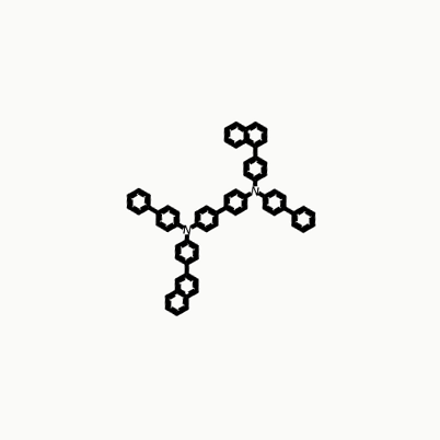 c1ccc(-c2ccc(N(c3ccc(-c4ccc(N(c5ccc(-c6ccccc6)cc5)c5ccc(-c6cccc7ccccc67)cc5)cc4)cc3)c3ccc(-c4ccc5ccccc5c4)cc3)cc2)cc1